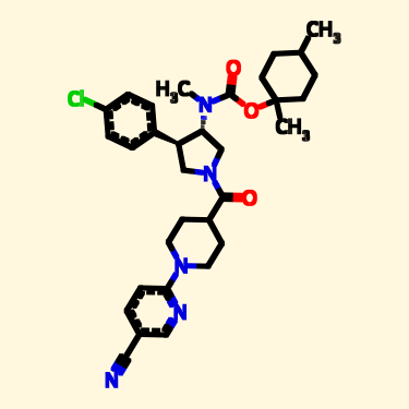 CC1CCC(C)(OC(=O)N(C)[C@@H]2CN(C(=O)C3CCN(c4ccc(C#N)cn4)CC3)C[C@H]2c2ccc(Cl)cc2)CC1